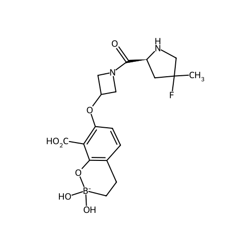 CC1(F)CN[C@H](C(=O)N2CC(Oc3ccc4c(c3C(=O)O)O[B-](O)(O)CC4)C2)C1